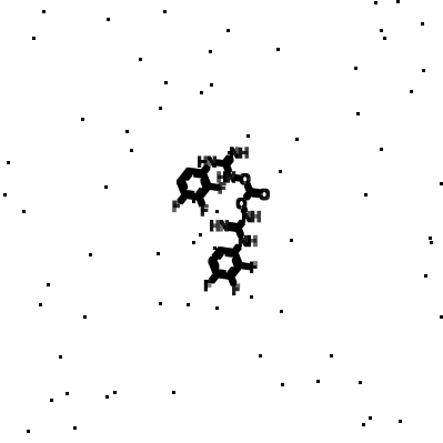 N=C(NOC(=O)ONC(=N)Nc1ccc(F)c(F)c1F)Nc1ccc(F)c(F)c1F